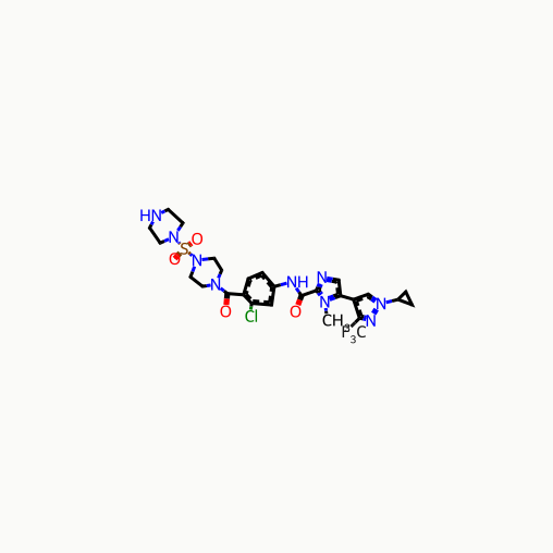 Cn1c(-c2cn(C3CC3)nc2C(F)(F)F)cnc1C(=O)Nc1ccc(C(=O)N2CCN(S(=O)(=O)N3CCNCC3)CC2)c(Cl)c1